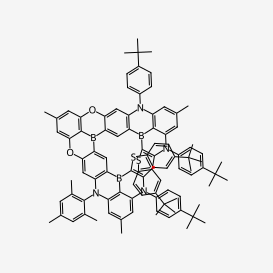 Cc1cc(C)c(N2c3cc4c(cc3B3c5sc6ccc(C(C)(C)C)cc6c5N(c5ccc(C(C)(C)C)cc5)c5cc(C)cc2c53)B2c3cc5c(cc3Oc3cc(C)cc(c32)O4)N(c2ccc(C(C)(C)C)cc2)c2cc(C)cc3c2B5c2sc4ccc(C(C)(C)C)cc4c2N3c2ccc(C(C)(C)C)cc2)c(C)c1